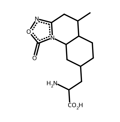 CC1Cc2noc(=O)n2C2CC(CC(N)C(=O)O)CCC12